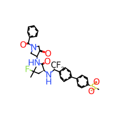 CC(C)(F)C[C@H](N[C@@H](c1ccc(-c2ccc(S(C)(=O)=O)cc2)cc1)C(F)(F)F)C(=O)NC1CN(C(=O)c2ccccc2)CC1=O